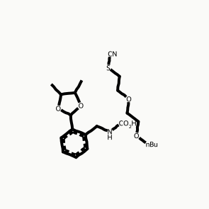 CC1OC(c2ccccc2CNC(=O)O)OC1C.CCCCOCCOCCSC#N